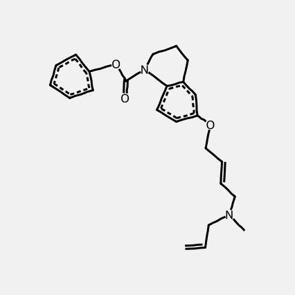 C=CCN(C)CC=CCOc1ccc2c(c1)CCCN2C(=O)Oc1ccccc1